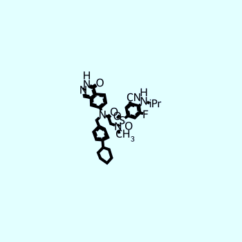 CC(C)Nc1c(F)cc(S(=O)(=O)N(C)CC(=O)N(Cc2ccc(C3CCCCC3)cc2)c2ccc3c(=O)[nH]ncc3c2)cc1C#N